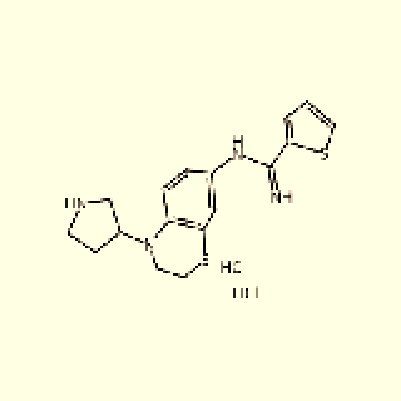 Cl.Cl.N=C(Nc1ccc2c(c1)SCCN2C1CCNC1)c1cccs1